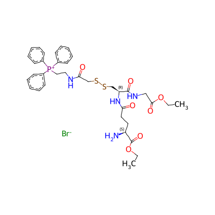 CCOC(=O)CNC(=O)[C@H](CSSCC(=O)NCC[P+](c1ccccc1)(c1ccccc1)c1ccccc1)NC(=O)CC[C@H](N)C(=O)OCC.[Br-]